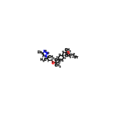 CCc1cn(C(C)(C)CCOC(C)(C)CC2CCC(CC(C)(C)OCCC(C)C)CC2)nn1